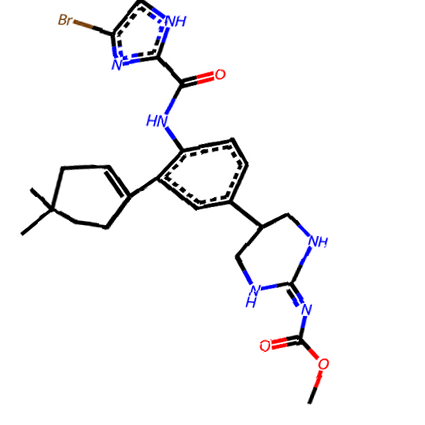 COC(=O)N=C1NCC(c2ccc(NC(=O)c3nc(Br)c[nH]3)c(C3=CCC(C)(C)CC3)c2)CN1